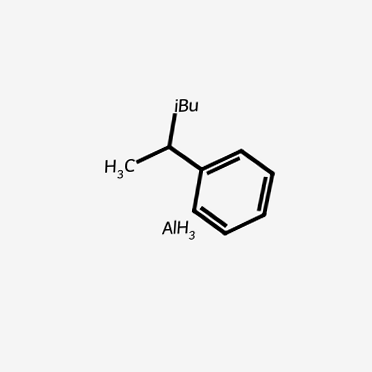 [AlH3].[CH2]C(CC)C(C)c1ccccc1